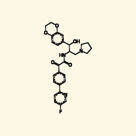 O=C(NC(CN1CCCC1)C(O)c1ccc2c(c1)OCCO2)C(=O)c1ccc(-c2ccc(F)cn2)cc1